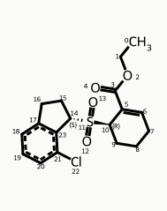 CCOC(=O)C1=CCCC[C@H]1S(=O)(=O)[C@H]1CCc2cccc(Cl)c21